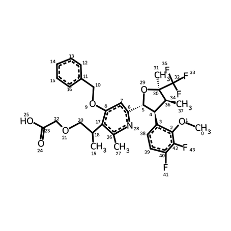 COc1c([C@H]2[C@H](c3cc(OCc4ccccc4)c(C(C)COCC(=O)O)c(C)n3)O[C@@](C)(C(F)(F)F)[C@H]2C)ccc(F)c1F